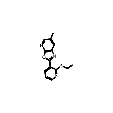 CCSc1ncccc1-c1nc2cc(C)cnc2o1